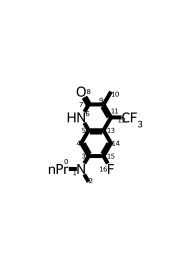 CCCN(C)c1cc2[nH]c(=O)c(C)c(C(F)(F)F)c2cc1F